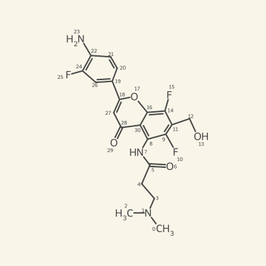 CN(C)CCC(=O)Nc1c(F)c(CO)c(F)c2oc(-c3ccc(N)c(F)c3)cc(=O)c12